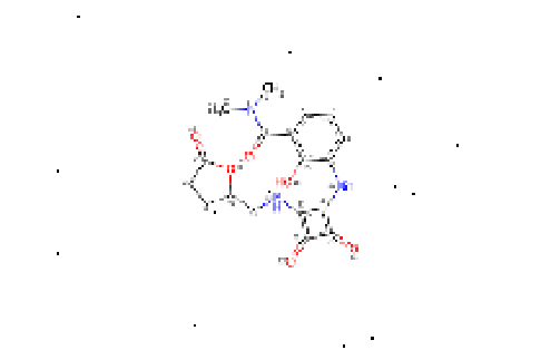 CN(C)C(=O)c1cccc(Nc2c(NCC3CCC(=O)O3)c(=O)c2=O)c1O